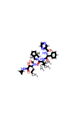 CCC[C@H](NC(=O)[C@@H]1[C@H]2CCC[C@@H]2CN1C(=O)C(NC(=O)[C@@H](NC(=O)c1cnccn1)C1CCCCC1)C(C)(C)C)C(=O)C(=O)NC1CC1